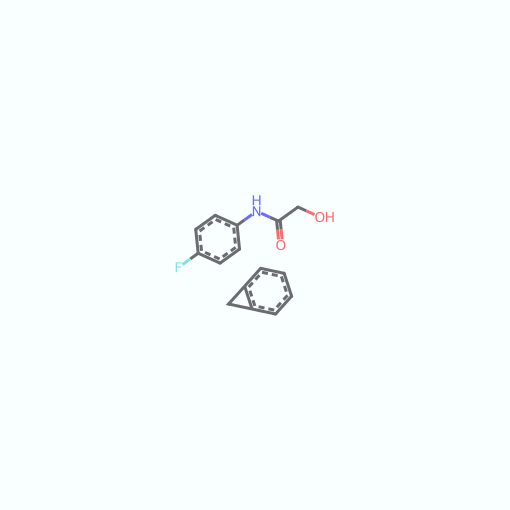 O=C(CO)Nc1ccc(F)cc1.c1ccc2c(c1)C2